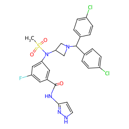 CS(=O)(=O)N(c1cc(F)cc(C(=O)Nc2cc[nH]n2)c1)C1CN(C(c2ccc(Cl)cc2)c2ccc(Cl)cc2)C1